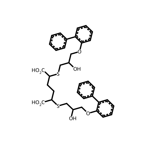 O=C(O)C(CCC(SCC(O)COc1ccccc1-c1ccccc1)C(=O)O)SCC(O)COc1ccccc1-c1ccccc1